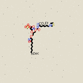 CCCCCCCCCCCCCCCCc1cc(OCC(COC(=O)NC(CCCCC[n+]2ccsc2)C(=O)OCC)Oc2ccon2)no1.CS(=O)(=O)[O-]